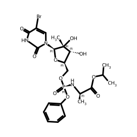 CC(C)OC(=O)[C@@H](C)N[P@@](=O)(OC[C@H]1O[C@@H](n2cc(Br)c(=O)[nH]c2=O)[C@](C)(O)[C@@H]1O)Oc1ccccc1